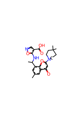 Cc1cc(C(C)Nc2oncc2C(=O)O)c2oc(N3CCC(C)(C)CC3)cc(=O)c2c1